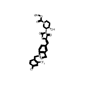 CC(C)(C)OC(=O)N1CC[C@H](O)[C@@H](N2C(=O)S/C(=C\c3ccc4c(cnn4Cc4ccc(Cl)cc4C(F)(F)F)c3)C2=O)C1